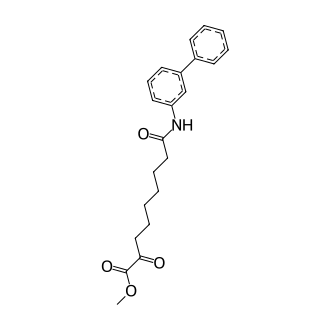 COC(=O)C(=O)CCCCCCC(=O)Nc1cccc(-c2ccccc2)c1